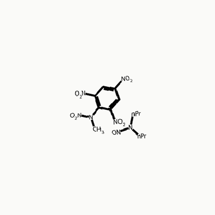 CCCN(CCC)N=O.CN(c1c([N+](=O)[O-])cc([N+](=O)[O-])cc1[N+](=O)[O-])[N+](=O)[O-]